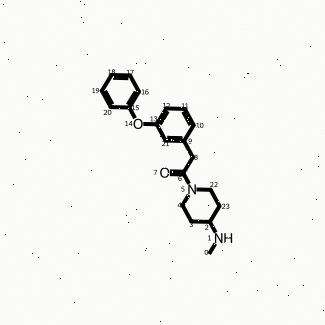 CNC1CCN(C(=O)Cc2cccc(Oc3ccccc3)c2)CC1